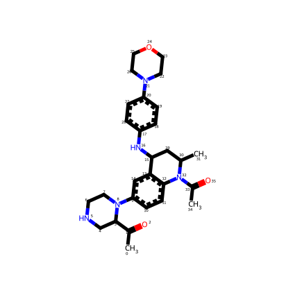 CC(=O)C1CNCCN1c1ccc2c(c1)C(Nc1ccc(N3CCOCC3)cc1)CC(C)N2C(C)=O